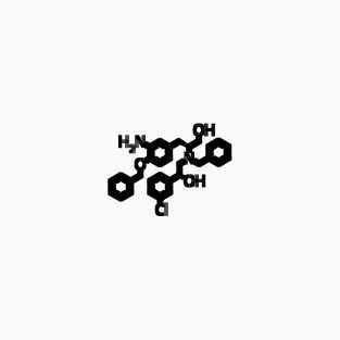 Nc1cc(C[C@@H](CO)N(Cc2ccccc2)C[C@@H](O)c2cccc(Cl)c2)ccc1OCc1ccccc1